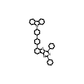 c1ccc(-c2nc(-c3ccccc3)c3sc4c(-c5ccc(-c6ccc(-n7c8ccccc8c8ccccc87)cc6)cc5)cccc4c3n2)cc1